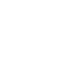 CS(=O)(=O)c1ccc(N2CCC(F)(F)CC2)c(C(=O)N2Cc3cn(-c4cc(Cl)ccc4F)nc3C2)c1